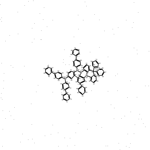 c1ccc(-c2ccc(N3B4c5cccc6c5N(c5ccccc5C6(c5ccccc5)c5ccccc5)c5cc(-c6ccccc6)cc(c54)-c4cc(N(c5ccc(-c6ccccc6)cc5)c5ccc(-c6ccccc6)cc5)ccc43)cc2)cc1